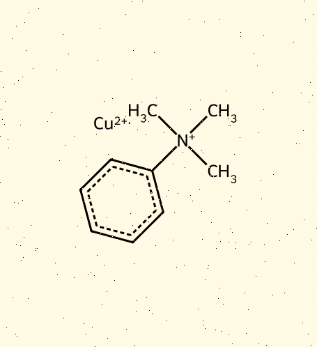 C[N+](C)(C)c1ccccc1.[Cu+2]